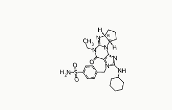 CCN1C(=O)c2c(nc(NC3CCCCC3)n2Cc2ccc(S(N)(=O)=O)cc2)N2C1=N[C@@H]1CCC[C@@H]12